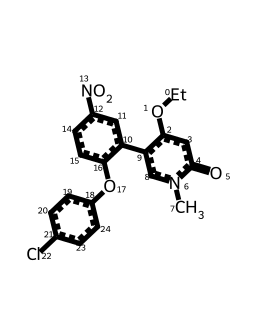 CCOc1cc(=O)n(C)cc1-c1cc([N+](=O)[O-])ccc1Oc1ccc(Cl)cc1